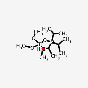 C[O][Ti]([O]C)([O]C)[O][Si](C(C)C)(C(C)C)C(C)C